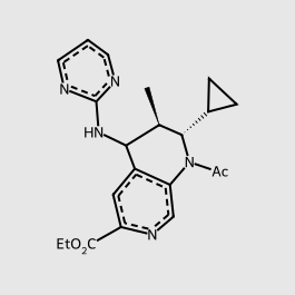 CCOC(=O)c1cc2c(cn1)N(C(C)=O)[C@@H](C1CC1)[C@H](C)C2Nc1ncccn1